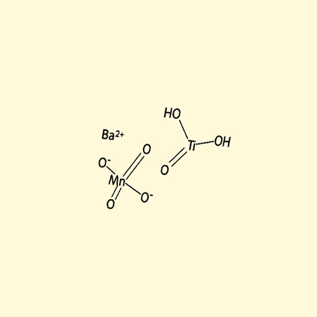 [Ba+2].[O]=[Mn](=[O])([O-])[O-].[O]=[Ti]([OH])[OH]